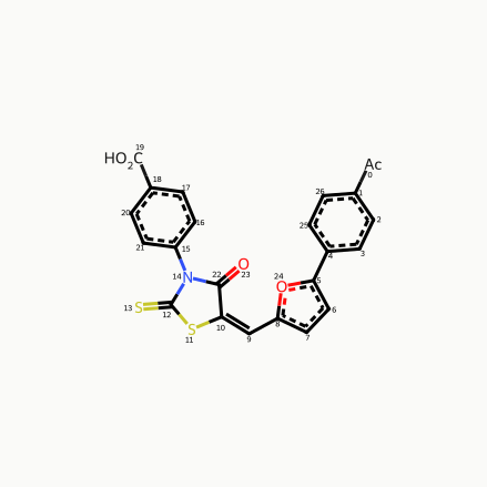 CC(=O)c1ccc(-c2ccc(C=C3SC(=S)N(c4ccc(C(=O)O)cc4)C3=O)o2)cc1